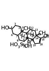 C[C@]12CCC(O)CC1CC[C@@H]1[C@@H]2CC[C@]2(C)C(O)=CC[C@@H]12.O=S(=O)(O)O